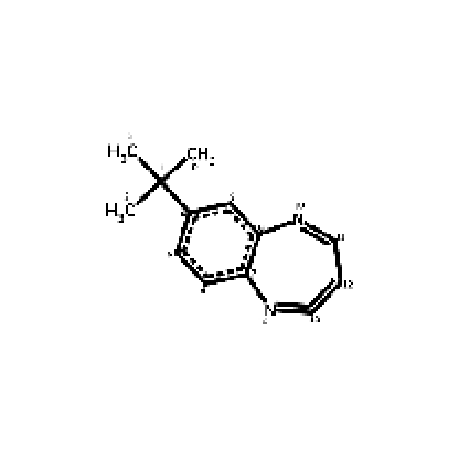 CC(C)(C)c1ccc2c(c1)N=CC=C=N2